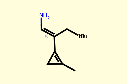 CC1=C(/C(=C/N)CC(C)(C)C)C1